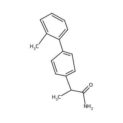 Cc1ccccc1-c1ccc(C(C)C(N)=O)cc1